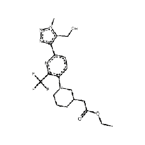 CCOC(=O)CC1CCCN(c2ccc(-c3nnn(C)c3CO)nc2C(F)(F)F)C1